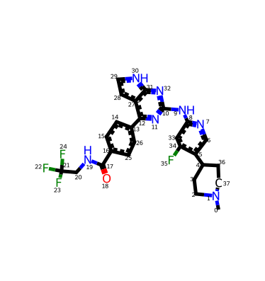 CN1CCC(c2cnc(Nc3nc(-c4ccc(C(=O)NCC(F)(F)F)cc4)c4cc[nH]c4n3)cc2F)CC1